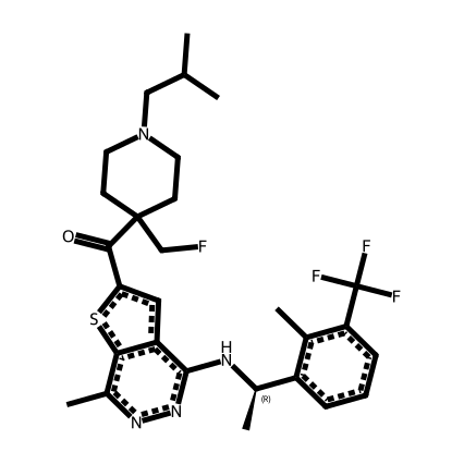 Cc1c([C@@H](C)Nc2nnc(C)c3sc(C(=O)C4(CF)CCN(CC(C)C)CC4)cc23)cccc1C(F)(F)F